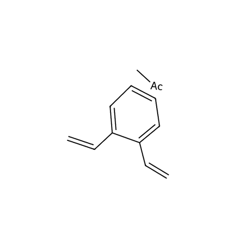 C=Cc1ccccc1C=C.CC(C)=O